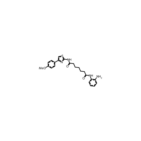 COc1ccc(-c2csc(NC(=O)CCCCCC(=O)Nc3ccccc3N)n2)cc1